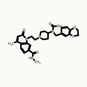 CNC(=O)c1ccc2c(C)cc(=O)n(CCN3CCC(N(Cc4ccc5c(c4)OCCO5)C(=O)O)CC3)c2c1